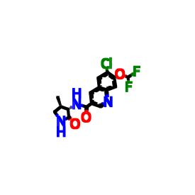 C[C@@H]1CNC(=O)[C@H]1NC(=O)c1cnc2cc(OC(F)F)c(Cl)cc2c1